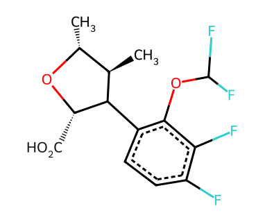 C[C@H]1O[C@@H](C(=O)O)C(c2ccc(F)c(F)c2OC(F)F)[C@@H]1C